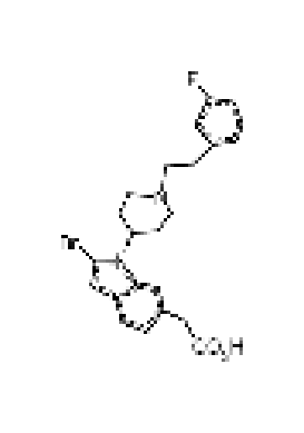 O=C(O)Cc1ccc2cc(Br)n(C3CCN(CCc4cccc(F)c4)CC3)c2c1